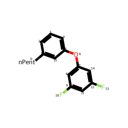 CCCCCc1cccc(Oc2cc(F)cc(F)c2)c1